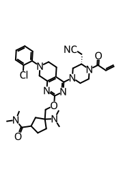 C=CC(=O)N1CCN(c2nc(OCC3(N(C)C)CCC(C(=O)N(C)C)C3)nc3c2CCN(c2ccccc2Cl)C3)C[C@@H]1CC#N